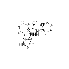 O=C(Nc1ccccn1)C1(Nc2cc[nH]n2)CCCCC1